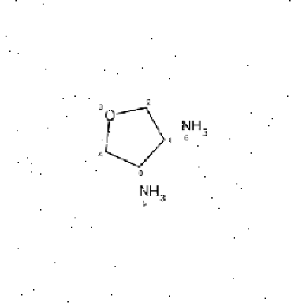 C1CCOC1.N.N